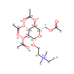 CC(=O)OC[C@@H]1O[C@H](OCC[N+](C)(C)CF)[C@@H](OC(C)=O)[C@H](OC(C)=O)[C@H]1OC(C)=O